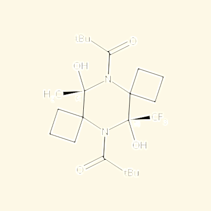 CC(C)(C)C(=O)N1C2(CCC2)[C@](C)(O)N(C(=O)C(C)(C)C)C2(CCC2)[C@@]1(O)C(F)(F)F